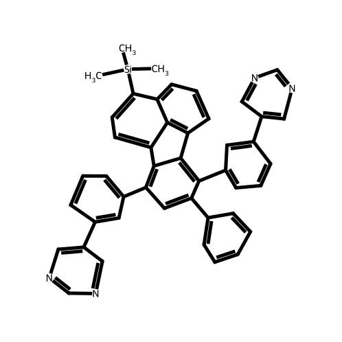 C[Si](C)(C)c1ccc2c3c(cccc13)-c1c(-c3cccc(-c4cncnc4)c3)c(-c3ccccc3)cc(-c3cccc(-c4cncnc4)c3)c1-2